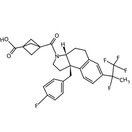 CC(F)(c1ccc2c(c1)CC[C@H]1N(C(=O)C34CC(C(=O)O)(C3)C4)CC[C@@]21Cc1ccc(F)cc1)C(F)(F)F